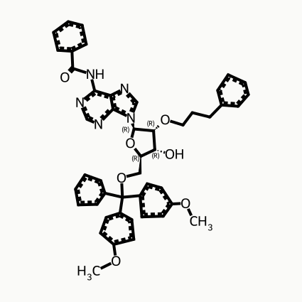 COc1ccc(C(OC[C@H]2O[C@@H](n3cnc4c(NC(=O)c5ccccc5)ncnc43)[C@H](OCCCc3ccccc3)[C@@H]2O)(c2ccccc2)c2ccc(OC)cc2)cc1